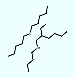 CCCCCOCCCCC.CCC[CH2][Sn][CH2]C(CC)CCCC